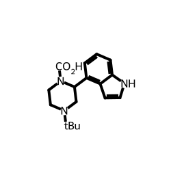 CC(C)(C)N1CCN(C(=O)O)C(c2cccc3[nH]ccc23)C1